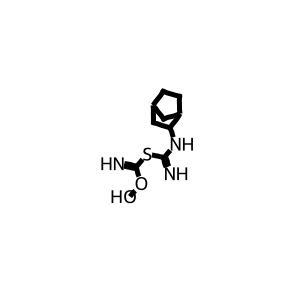 N=C(NC1CC2CCC1C2)SC(=N)OO